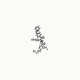 C=C(/C=C\C=C/C)C(=O)O/N=C(\CCCCCC)C(=O)c1ccc(Sc2ccccc2)cc1